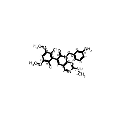 CNc1ncc2cc(-c3c(Cl)c(OC)cc(OC)c3Cl)c(=O)n(Cc3cccc(N)c3)c2n1